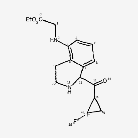 CCOC(=O)CNc1cccc2c1CCNC2C(=O)C1C[C@@H]1F